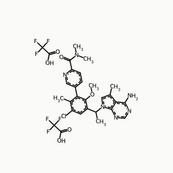 COc1c(C(C)n2cc(C)c3c(N)ncnc32)cc(Cl)c(C)c1-c1ccc(C(=O)N(C)C)nc1.O=C(O)C(F)(F)F.O=C(O)C(F)(F)F